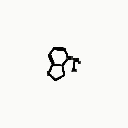 C1=CNC2CCSC2=C1.CC(N)=O